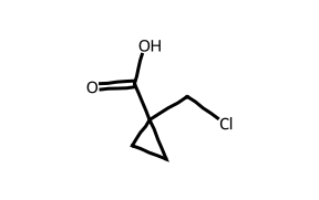 O=C(O)C1(CCl)CC1